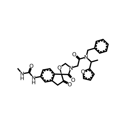 CNC(=O)Nc1ccc2c(c1)CC(=O)[C@]21OCN(CC(=O)N(Cc2ccccc2)C(C)c2ccco2)C1=O